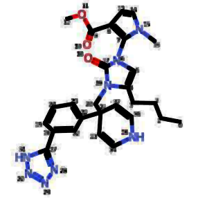 CCCCc1cn(-c2c(C(=O)OC)ccn2C)c(=O)n1CC1(c2cccc(-c3nnn[nH]3)c2)C=CNC=C1